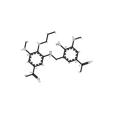 CCCOc1c(NCc2cc(C(C)=O)cc(OC)c2O)cc(C(C)=O)cc1OC